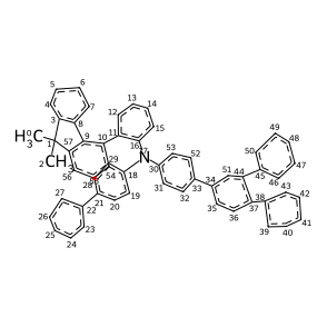 CC1(C)c2ccccc2-c2c(-c3ccccc3N(c3ccc(-c4ccccc4)cc3)c3ccc(-c4ccc(-c5ccccc5)c(-c5ccccc5)c4)cc3)cccc21